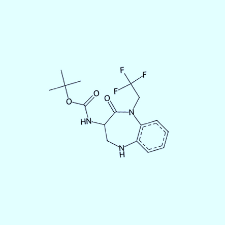 CC(C)(C)OC(=O)NC1CNc2ccccc2N(CC(F)(F)F)C1=O